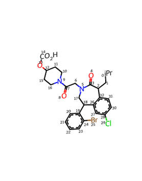 CC(C)CC1C(=O)N(CC(=O)N2CCC(OC(=O)O)CC2)CC(c2ccccc2Br)c2cc(Cl)ccc21